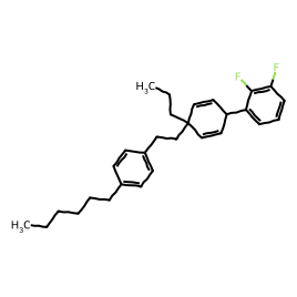 CCCCCCc1ccc(CCC2(CCC)C=CC(c3cccc(F)c3F)C=C2)cc1